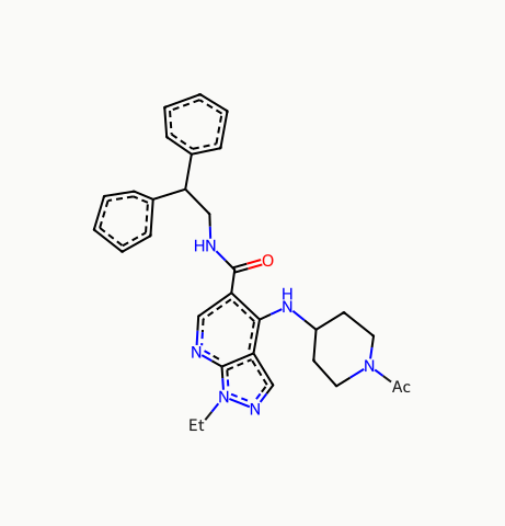 CCn1ncc2c(NC3CCN(C(C)=O)CC3)c(C(=O)NCC(c3ccccc3)c3ccccc3)cnc21